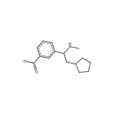 CNC(CN1CCCC1)c1cccc([N+](=O)[O-])c1